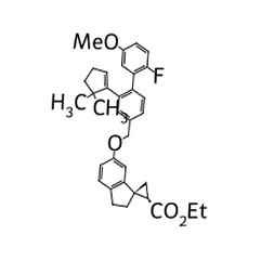 CCOC(=O)[C@@H]1C[C@]12CCc1ccc(OCc3ccc(-c4cc(OC)ccc4F)c(C4=CCCC4(C)C)c3)cc12